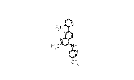 Cc1cc(Nc2ccc(C(F)(F)F)cn2)c2ccc(-c3ncccc3C(F)(F)F)nc2n1